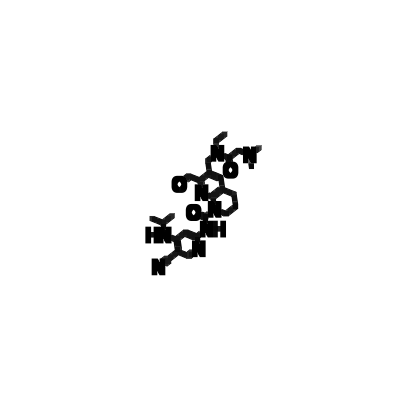 CCN(Cc1cc2c(nc1C=O)N(C(=O)Nc1cc(NC(C)C)c(C#N)cn1)CCC2)C(=O)CN(C)C